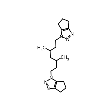 CC(CCn1nnc2c1CCC2)CC(C)CCn1nnc2c1CCC2